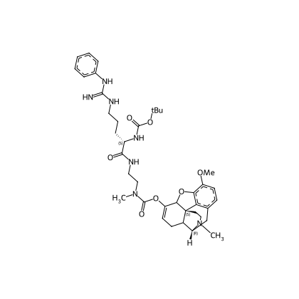 COc1ccc2c3c1OC1C(OC(=O)N(C)CCNC(=O)[C@H](CCCNC(=N)Nc4ccccc4)NC(=O)OC(C)(C)C)=CCC4[C@@H](C2)N(C)CC[C@]314